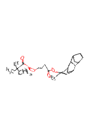 CCC(C)(C)C(=O)OCCCC(=O)OC1(CC)CC2CC1C1C3CCC(C3)C21